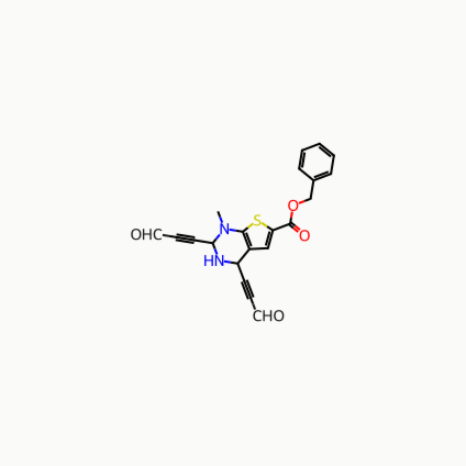 CN1c2sc(C(=O)OCc3ccccc3)cc2C(C#CC=O)NC1C#CC=O